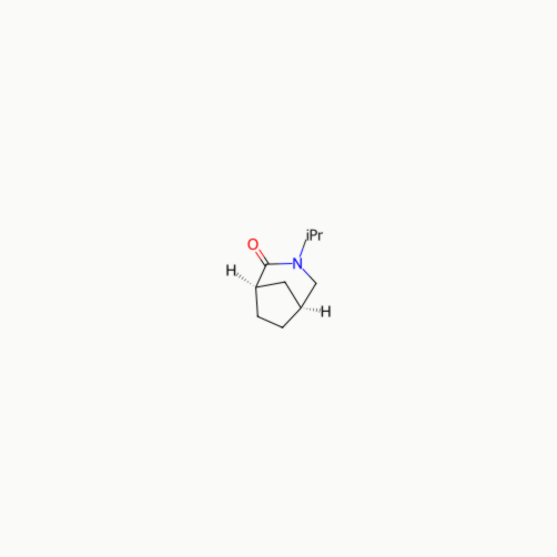 CC(C)N1C[C@H]2CC[C@H](C2)C1=O